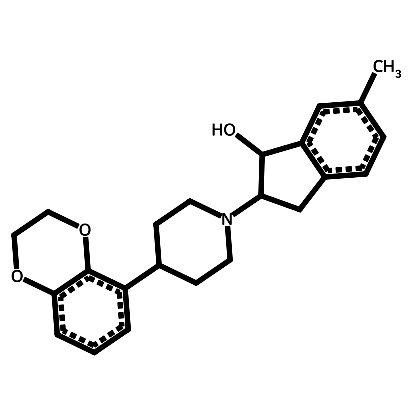 Cc1ccc2c(c1)C(O)C(N1CCC(c3cccc4c3OCCO4)CC1)C2